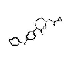 O=C1N[C@H](CNC2CC2)CCS[C@@H]1c1ccc(Oc2ccccc2)cc1